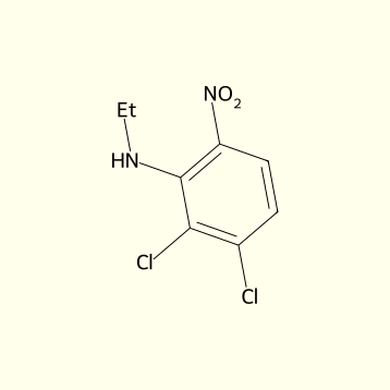 CCNc1c([N+](=O)[O-])ccc(Cl)c1Cl